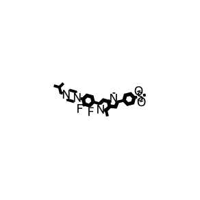 Cc1nc(-c2ccc(N3CCN(CC(C)C)CC3)c(F)c2F)cc2c1cc(-c1ccc(S(C)(=O)=O)cc1)n2C